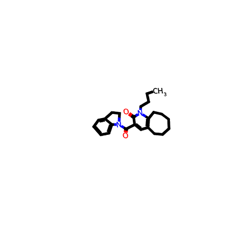 CCCCn1c2c(cc(C(=O)N3CCc4ccccc43)c1=O)CCCCCC2